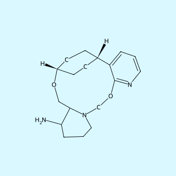 NC1CCCN2COc3ncccc3[C@H]3CC[C@H](CC3)OCC12